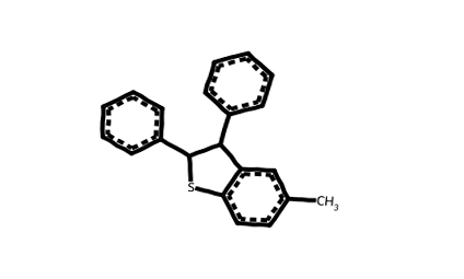 Cc1ccc2c(c1)C(c1ccccc1)C(c1ccccc1)S2